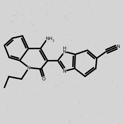 CCCn1c(=O)c(-c2nc3ccc(C#N)cc3[nH]2)c(N)c2ccccc21